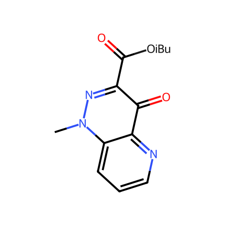 CC(C)COC(=O)c1nn(C)c2cccnc2c1=O